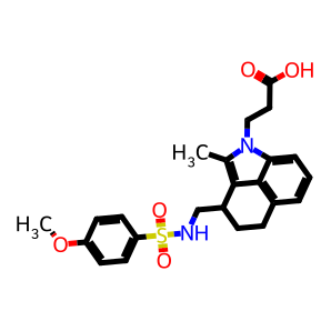 COc1ccc(S(=O)(=O)NCC2CCc3cccc4c3c2c(C)n4CCC(=O)O)cc1